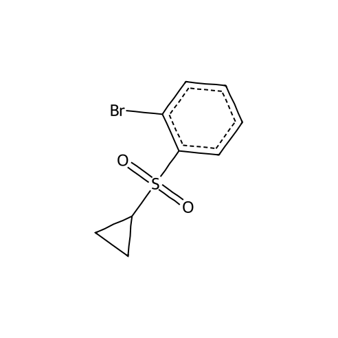 O=S(=O)(c1ccccc1Br)C1CC1